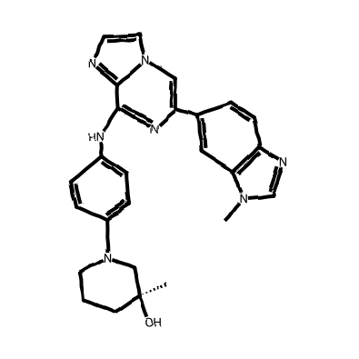 Cn1cnc2ccc(-c3cn4ccnc4c(Nc4ccc(N5CCC[C@](C)(O)C5)cc4)n3)cc21